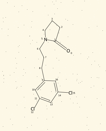 O=C1CCCN1CCCc1cc(Cl)[c]c(Cl)c1